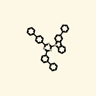 c1ccc(-c2ccc(-c3nc(-c4cccc(-c5ccccc5)c4)nc(-n4c5ccccc5c5cc(-c6ccccc6)ccc54)n3)cc2)cc1